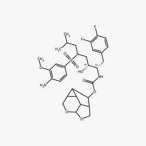 COc1cc(S(=O)(=O)N(CC(C)C)C[C@@H](O)[C@H](Cc2ccc(F)c(F)c2)NC(=O)OC2C3COC4OCC5C2C5C43)ccc1N